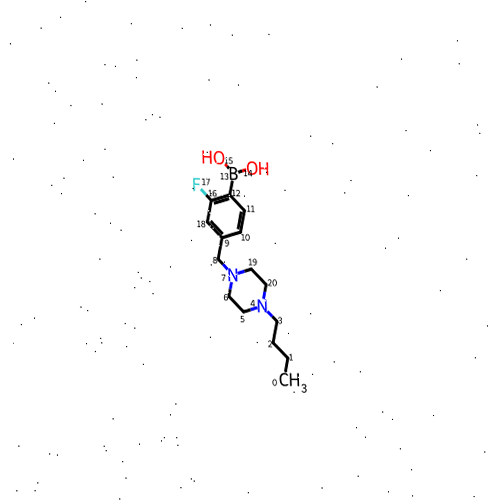 CCCCN1CCN(Cc2ccc(B(O)O)c(F)c2)CC1